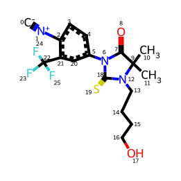 [C-]#[N+]c1ccc(N2C(=O)C(C)(C)N(CCCCO)C2=S)cc1C(F)(F)F